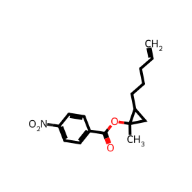 C=CCCCC1CC1(C)OC(=O)c1ccc([N+](=O)[O-])cc1